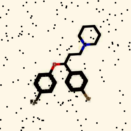 FC(F)(F)c1ccc(OC(CCN2CCCCC2)c2ccc(Br)cc2)cc1